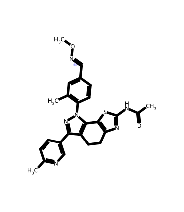 CO/N=C/c1ccc(-n2nc(-c3ccc(C)nc3)c3c2-c2sc(NC(C)=O)nc2CC3)c(C)c1